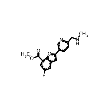 CNCc1ccc(-c2cc3cc(F)cc(C(=O)OC)c3o2)cn1